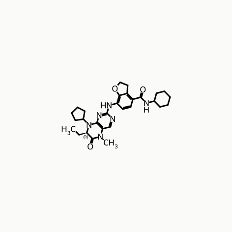 CC[C@@H]1C(=O)N(C)c2cnc(Nc3ccc(C(=O)NC4CCCCC4)c4c3OCC4)nc2N1C1CCCC1